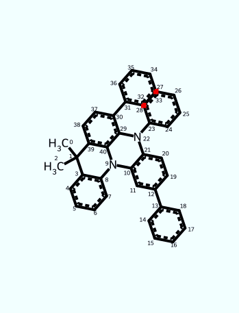 CC1(C)c2ccccc2N2c3cc(-c4ccccc4)ccc3N(c3ccccc3)c3c(-c4ccccc4)ccc1c32